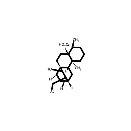 CC(=O)C[C@H]1[C@H]2CC[C@@]3(CC[C@H]4[C@@](C)(CCC[C@@]4(C)C(=O)O)[C@@H]3C2)[C@@H]1O